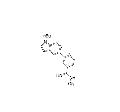 CCCCn1ccc2cc(-c3cc(C(=N)NO)ccn3)ncc21